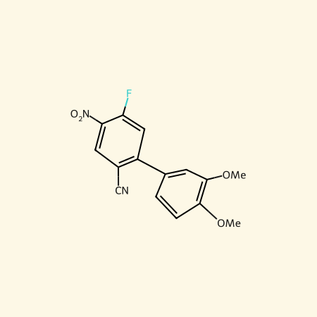 COc1ccc(-c2cc(F)c([N+](=O)[O-])cc2C#N)cc1OC